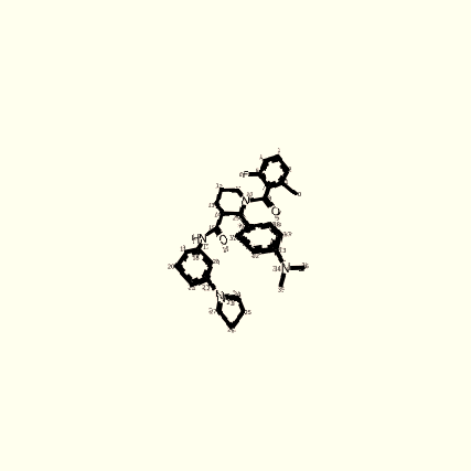 Cc1cccc(F)c1C(=O)N1CCCC(C(=O)Nc2cccc(N3CCCC3)c2)C1c1ccc(N(C)C)cc1